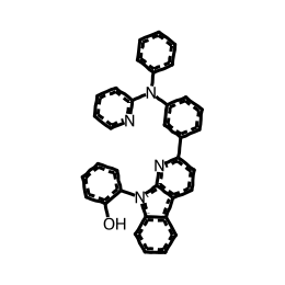 Oc1ccccc1-n1c2ccccc2c2ccc(-c3cccc(N(c4ccccc4)c4ccccn4)c3)nc21